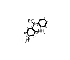 CCC(c1ccccc1)c1ccc(N)cc1N